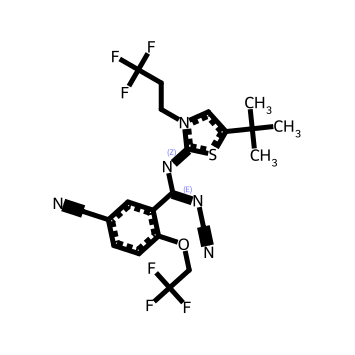 CC(C)(C)c1cn(CCC(F)(F)F)/c(=N/C(=N/C#N)c2cc(C#N)ccc2OCC(F)(F)F)s1